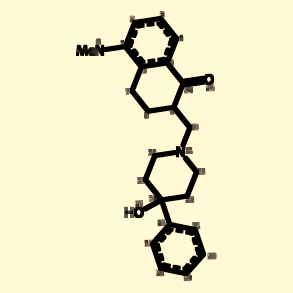 CNc1cccc2c1CCC(CN1CCC(O)(c3ccccc3)CC1)C2=O